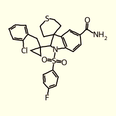 NC(=O)c1ccc2c(c1)C1(CCSCC1)C(C1(Cc3ccccc3Cl)CC1)N2S(=O)(=O)c1ccc(F)cc1